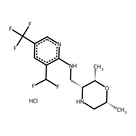 C[C@@H]1CN[C@H](CNc2ncc(C(F)(F)F)cc2C(F)F)[C@H](C)O1.Cl